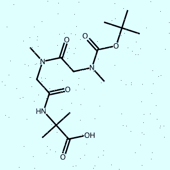 CN(CC(=O)NC(C)(C)C(=O)O)C(=O)CN(C)C(=O)OC(C)(C)C